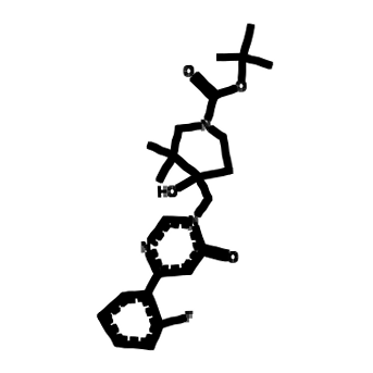 CC(C)(C)OC(=O)N1CCC(O)(Cn2cnc(-c3ccccc3F)cc2=O)C(C)(C)C1